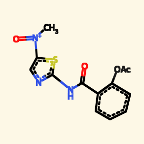 CC(=O)Oc1ccccc1C(=O)Nc1ncc([N+](C)=O)s1